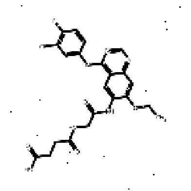 CCOc1cc2ncnc(Nc3ccc(F)c(Cl)c3)c2cc1NC(=O)CNC(=O)CCC(=O)O